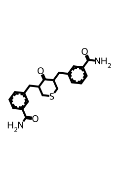 NC(=O)c1cccc(CC2CSCC(Cc3cccc(C(N)=O)c3)C2=O)c1